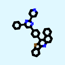 c1ccc(-c2cc(-c3ccc(-c4c5sc6ccccc6c5nc5ccc6ccccc6c45)cc3)nc(-c3ccncc3)n2)cc1